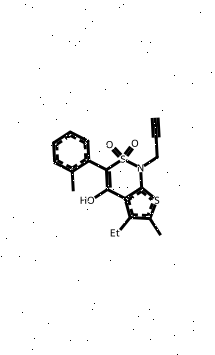 C#CCN1c2sc(C)c(CC)c2C(O)=C(c2ccccc2C)S1(=O)=O